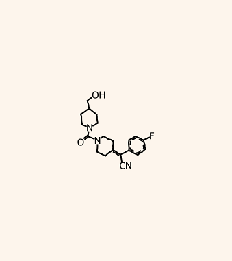 N#CC(=C1CCN(C(=O)N2CCC(CO)CC2)CC1)c1ccc(F)cc1